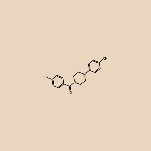 N#Cc1ccc(N2CCN(C(=O)c3ccc(Br)cc3)CC2)cc1